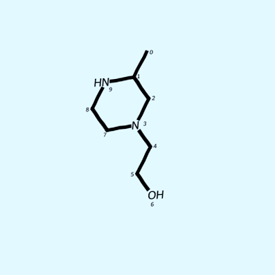 CC1CN(CCO)CCN1